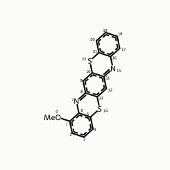 COc1cccc2c1N=c1cc3c(cc1S2)=Nc1ccccc1S3